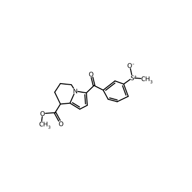 COC(=O)C1CCCn2c(C(=O)c3cccc([S+](C)[O-])c3)ccc21